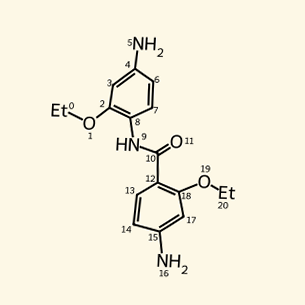 CCOc1cc(N)ccc1NC(=O)c1ccc(N)cc1OCC